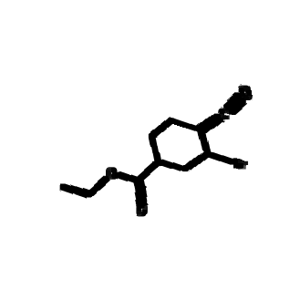 CCOC(=O)C1CCC(=C=O)C(Br)C1